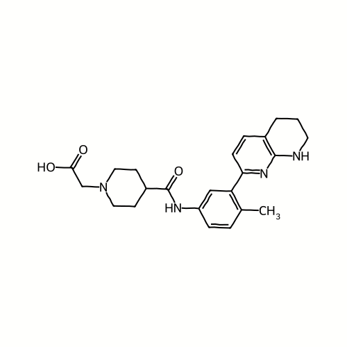 Cc1ccc(NC(=O)C2CCN(CC(=O)O)CC2)cc1-c1ccc2c(n1)NCCC2